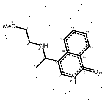 COCCNC(C)c1c[nH]c(=O)c2ccccc12